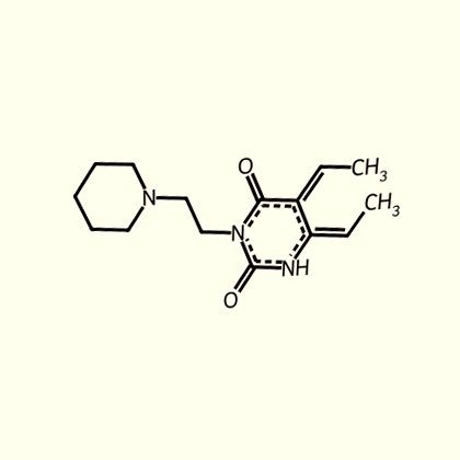 C/C=c1/[nH]c(=O)n(CCN2CCCCC2)c(=O)/c1=C/C